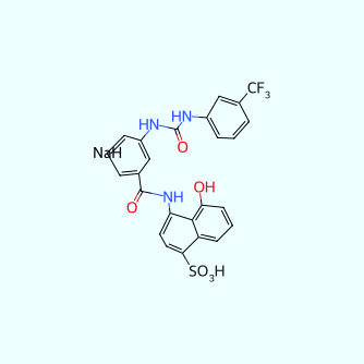 O=C(Nc1cccc(C(=O)Nc2ccc(S(=O)(=O)O)c3cccc(O)c23)c1)Nc1cccc(C(F)(F)F)c1.[NaH]